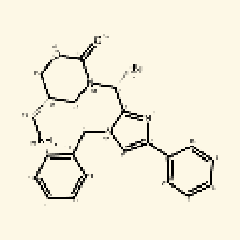 CC(C)(C)[C@H](c1nc(-c2ccccc2)cn1Cc1ccccc1)N1C[C@H](CN)COC1=O